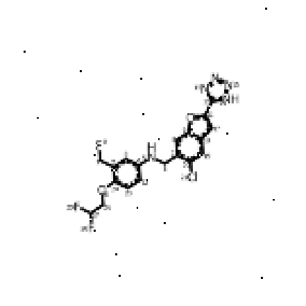 FCc1cc(NCc2cc3oc(-c4nnn[nH]4)cc3cc2Cl)ccc1OCC(F)F